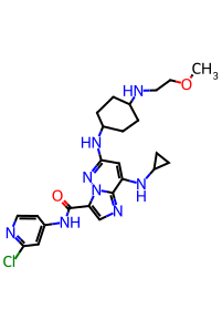 COCCNC1CCC(Nc2cc(NC3CC3)c3ncc(C(=O)Nc4ccnc(Cl)c4)n3n2)CC1